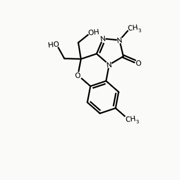 Cc1ccc2c(c1)-n1c(nn(C)c1=O)C(CO)(CO)O2